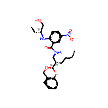 CCCC[C@H](CNC(=O)c1cc([N+](=O)[O-])ccc1N[C@H](CC)CO)[C@@H]1OCc2ccccc2O1